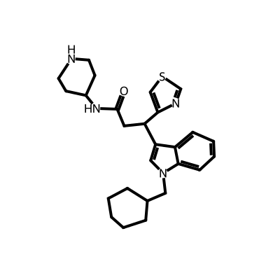 O=C(CC(c1cscn1)c1cn(CC2CCCCC2)c2ccccc12)NC1CCNCC1